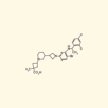 CC(Nc1nc(N2CC(C3CCCN(C4CC(C)(C(=O)O)C4)C3)C2)ncc1Br)c1ccc(Cl)cc1Cl